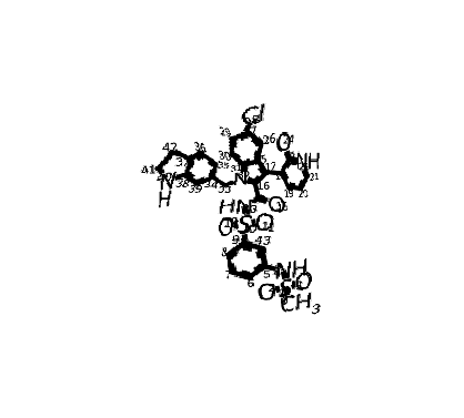 CS(=O)(=O)Nc1cccc(S(=O)(=O)NC(=O)c2c(-c3ccc[nH]c3=O)c3cc(Cl)ccc3n2Cc2ccc3c(c2)NCC3)c1